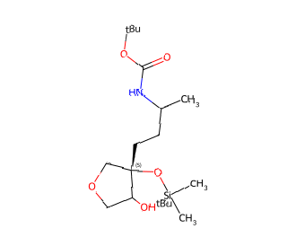 CC(CC[C@]1(O[Si](C)(C)C(C)(C)C)COCC1O)NC(=O)OC(C)(C)C